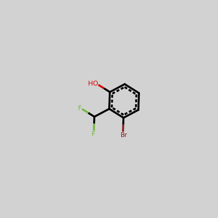 Oc1cccc(Br)c1C(F)F